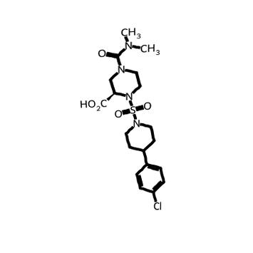 CN(C)C(=O)N1CCN(S(=O)(=O)N2CCC(c3ccc(Cl)cc3)CC2)[C@@H](C(=O)O)C1